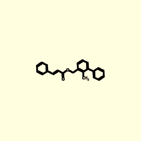 Cc1c(COC(=O)/C=C/c2ccccc2)cccc1-c1ccccc1